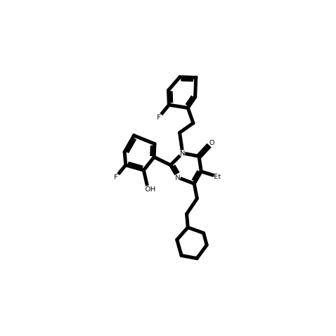 CCc1c(CCC2CCCCC2)nc(-c2cccc(F)c2O)n(CCc2ccccc2F)c1=O